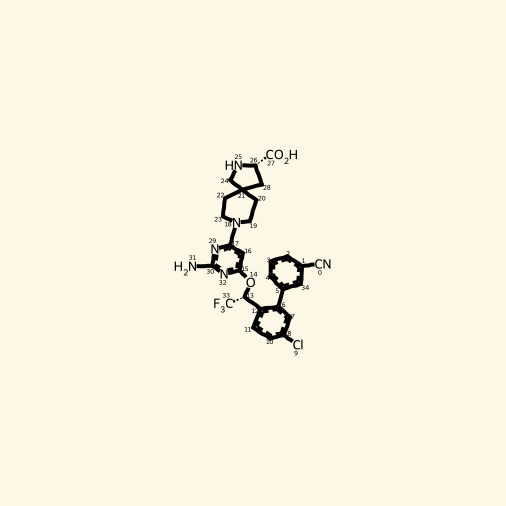 N#Cc1cccc(-c2cc(Cl)ccc2[C@@H](Oc2cc(N3CCC4(CC3)CN[C@H](C(=O)O)C4)nc(N)n2)C(F)(F)F)c1